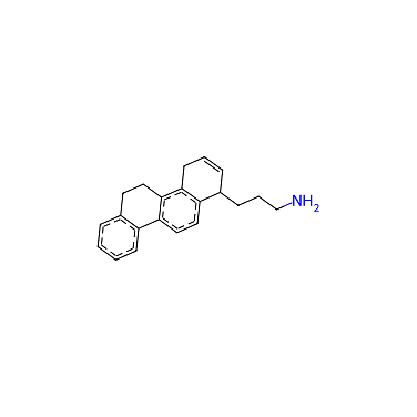 NCCCC1C=CCc2c1ccc1c2CCc2ccccc2-1